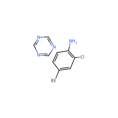 CCc1ccc(N)c(Cl)c1.c1ncncn1